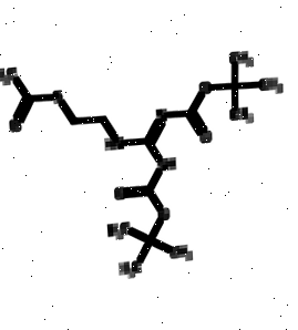 CC(=O)SCCNC(=NC(=O)OC(C)(C)C)NC(=O)OC(C)(C)C